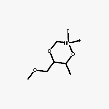 COCC1OC[PH](F)(F)OC1C